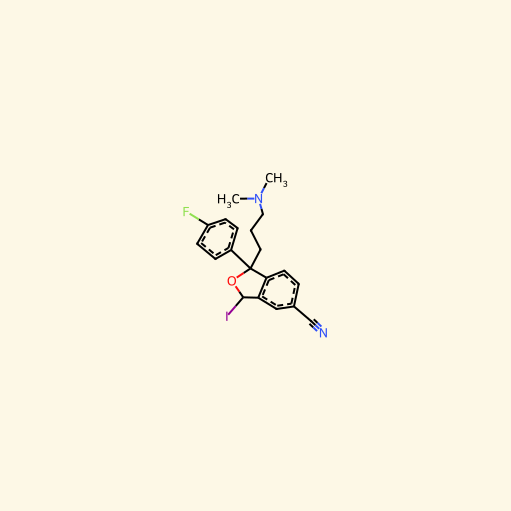 CN(C)CCCC1(c2ccc(F)cc2)OC(I)c2cc(C#N)ccc21